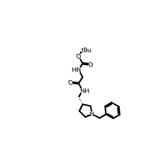 CC(C)(C)OC(=O)NCC(=O)NC[C@H]1CCN(Cc2ccccc2)C1